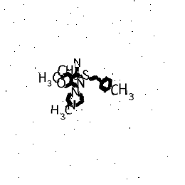 Cc1ccc(CCSc2nc(N3CCCN(C)CC3)c3c(c2C#N)CC(C)(C)OC3)cc1